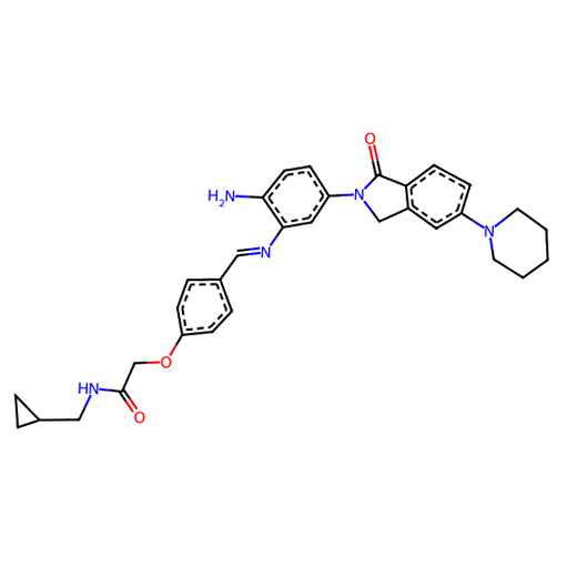 Nc1ccc(N2Cc3cc(N4CCCCC4)ccc3C2=O)cc1/N=C/c1ccc(OCC(=O)NCC2CC2)cc1